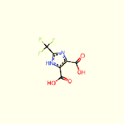 O=C(O)c1nc(C(F)(F)F)[nH]c1C(=O)O